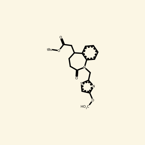 CC(C)(C)OC(=O)CC1CCC(=O)N(Cc2nc(OC(=O)O)cs2)c2ccccc21